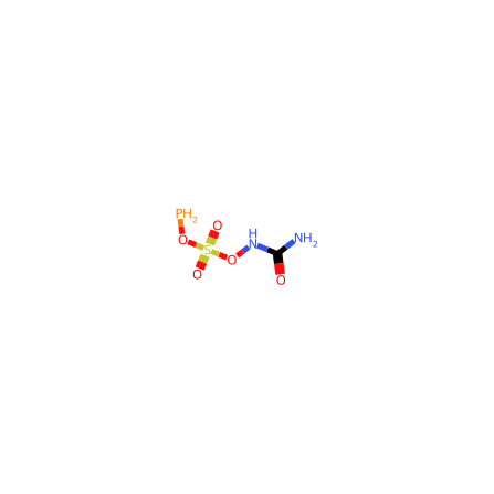 NC(=O)NOS(=O)(=O)OP